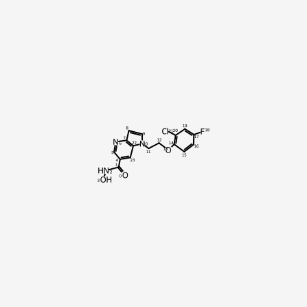 O=C(NO)c1cnc2ccn(CCOc3ccc(F)cc3Cl)c2c1